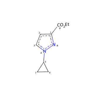 CCOC(=O)c1ccn(C2CC2)n1